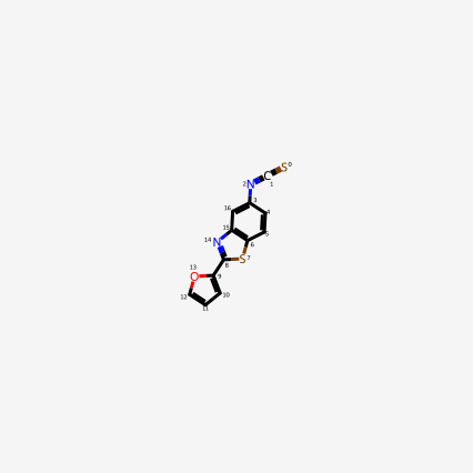 S=C=Nc1ccc2sc(-c3ccco3)nc2c1